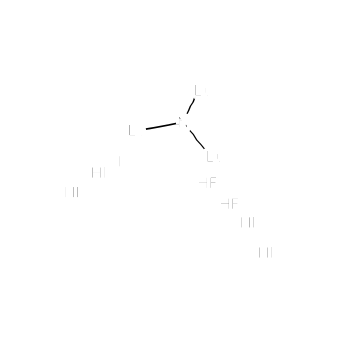 CCN(CC)CC.F.F.F.F.F.F.F